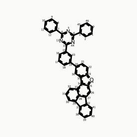 c1ccc(-c2nc(-c3ccccc3)nc(-c3cccc(-c4ccc5oc6cc7c8c(cccc8c6c5c4)-c4ccccc4-7)c3)n2)cc1